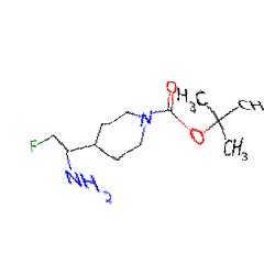 CC(C)(C)OC(=O)N1CCC(C(N)CF)CC1